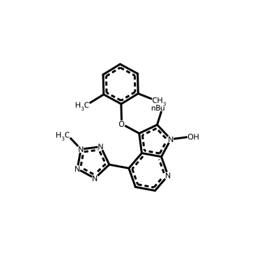 CCCCc1c(Oc2c(C)cccc2C)c2c(-c3nnn(C)n3)ccnc2n1O